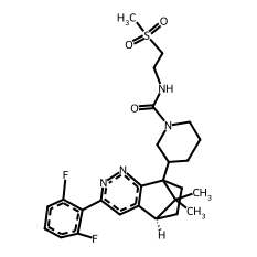 CC1(C)[C@H]2CCC1(C1CCCN(C(=O)NCCS(C)(=O)=O)C1)c1nnc(-c3c(F)cccc3F)cc12